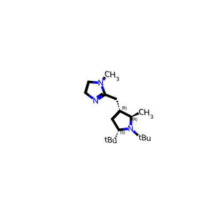 C[C@@H]1[C@@H](CC2=NCCN2C)C[C@@H](C(C)(C)C)N1C(C)(C)C